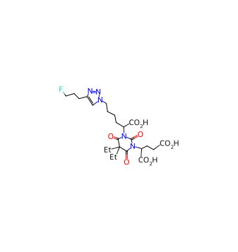 CCC1(CC)C(=O)N(C(CCCCn2cc(CCCF)nn2)C(=O)O)C(=O)N(C(CCC(=O)O)C(=O)O)C1=O